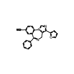 C#Cc1ccc2c(c1)C(c1ccccc1)=NCc1c(-c3ccco3)ncn1-2